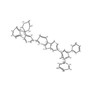 c1ccc(-c2cc(-c3ccc4c(c3)sc3cc(-c5ccc6c(c5)C5(CCCCC5)c5ccccc5-6)ccc34)nc(-c3ccccc3)n2)cc1